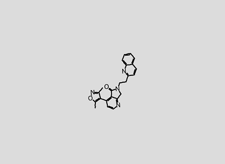 Cc1noc(C)c1-c1ccnc2c1C(=O)N(CCc1ccc3ccccc3n1)C2